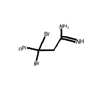 CCCC(Br)(Br)CC(=N)N